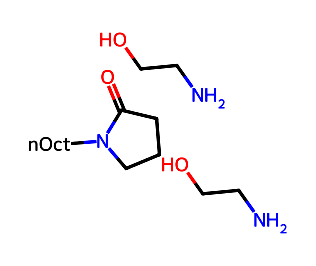 CCCCCCCCN1CCCC1=O.NCCO.NCCO